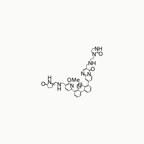 COc1nc(-c2cccc(-c3cccc(-c4ccn5c(=O)c(CNCCN6CCNC6=O)cnc5c4)c3Cl)c2Cl)ccc1CNC[C@H]1CCC(=O)N1